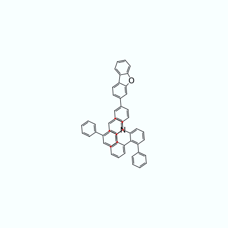 c1ccc(-c2cccc(N(c3ccc(-c4ccc5c(c4)oc4ccccc45)cc3)c3cccc(-c4ccccc4)c3-c3ccccc3-c3ccccc3)c2)cc1